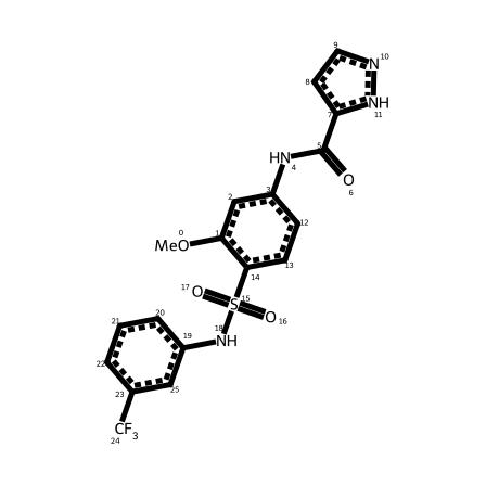 COc1cc(NC(=O)c2ccn[nH]2)ccc1S(=O)(=O)Nc1cccc(C(F)(F)F)c1